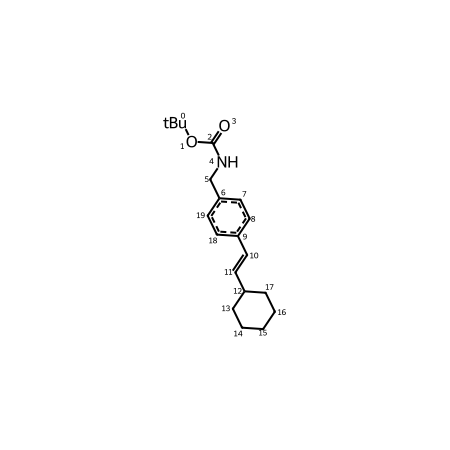 CC(C)(C)OC(=O)NCc1ccc(C=CC2CCCCC2)cc1